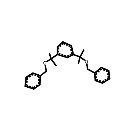 CC(C)(OCc1ccccc1)c1cccc(C(C)(C)OCc2ccccc2)c1